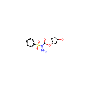 NN(C(=O)OC1CCC(=O)C1)S(=O)(=O)c1ccccc1